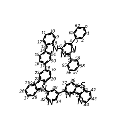 c1ccc(-c2cc(-n3c4ccccc4c4ccc(-c5ccc6c(c5)c5ccccc5n6-c5cncc(-c6ccc7sc8cccnc8c7n6)c5)cc43)nc(-c3ccccc3)n2)cc1